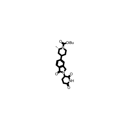 CC(C)COC(=O)N1CCC(c2ccc3c(c2)CN(C2CCC(=O)NC2=O)C3=O)C[C@@H]1C